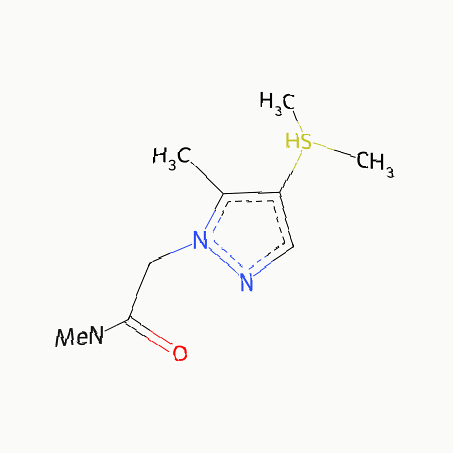 CNC(=O)Cn1ncc([SH](C)C)c1C